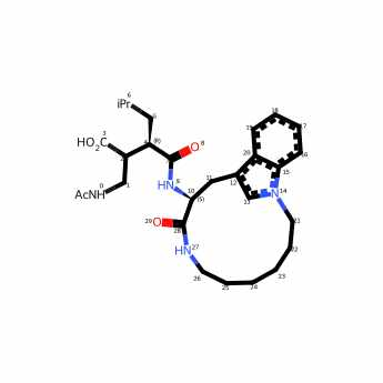 CC(=O)NCC(C(=O)O)[C@@H](CC(C)C)C(=O)N[C@H]1Cc2cn(c3ccccc23)CCCCCCNC1=O